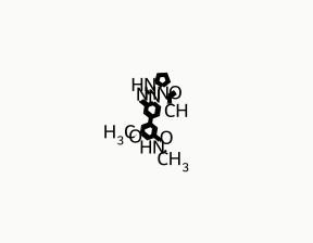 C#CC(=O)NC1CCCC1Nc1ncc2cc(-c3cc(OC)cc(C(=O)NCC)c3)ccc2n1